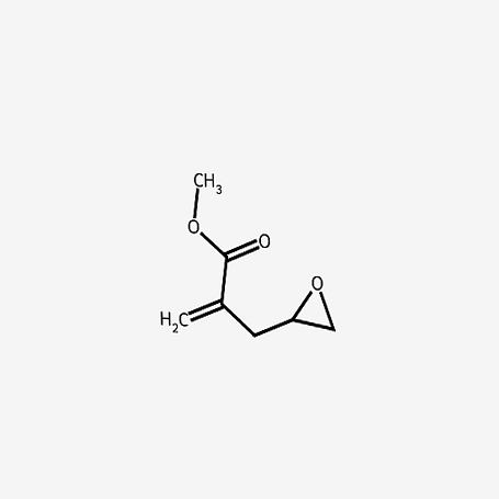 C=C(CC1CO1)C(=O)OC